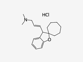 CN(C)CC=CC1c2ccccc2OC12CCCCCC2.Cl